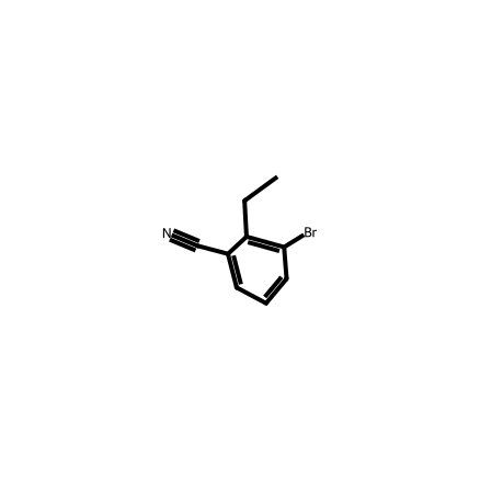 CCc1c(Br)cccc1C#N